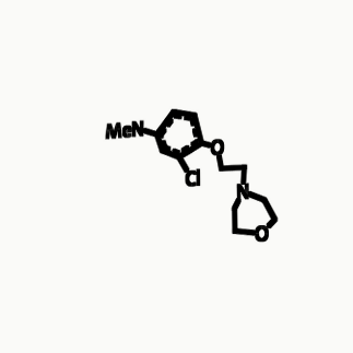 CNc1ccc(OCCN2CCOCC2)c(Cl)c1